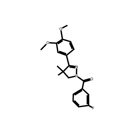 COc1ccc(C2=NN(C(=O)c3cccc(F)c3)CC2(C)C)cc1OC